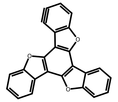 c1ccc2oc3c(c2c#1)c1oc2ccccc2c1c1oc2ccccc2c31